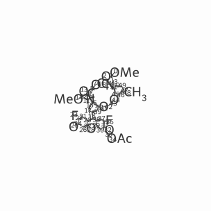 COC(=O)CN1CCOCCN(CC(=O)OC)c2ccc(-c3c4cc(F)c(=O)cc-4oc4cc(OCOC(C)=O)c(F)cc34)cc2OCCOc2cc(C)ccc21